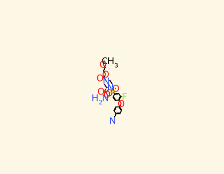 COCCOC(=O)N1CCN(S(=O)(=O)c2ccc(Oc3ccc(C#N)cc3)c(F)c2)[C@@H](C(=O)ON)C1